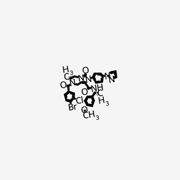 COc1ccc([C@@H](C)NC(=O)c2c3n(c(=O)n2-c2ccc(-n4cccn4)cc2)C[C@H](C)N(C(=O)c2ccc(Br)c(Cl)c2)C3)cc1